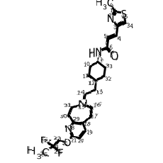 Cc1nc(/C=C/C(=O)N[C@H]2CC[C@H](CCN3CCc4ccc(OCC(C)(F)F)nc4CC3)CC2)cs1